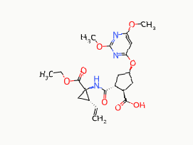 C=C[C@@H]1C[C@]1(NC(=O)[C@@H]1C[C@@H](Oc2cc(OC)nc(OC)n2)C[C@H]1C(=O)O)C(=O)OCC